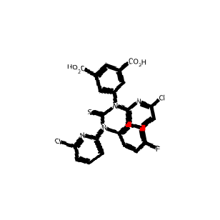 O=C(O)c1cc(C(=O)O)cc(N(C(=S)N(c2ccc(F)cc2)c2cccc(Cl)n2)c2cccc(Cl)n2)c1